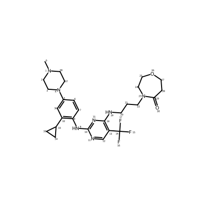 CN1CCN(c2ccc(Nc3ncc(C(F)(F)F)c(NCCCN4CCOCCC4=O)n3)c(C3CC3)c2)CC1